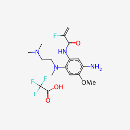 C=C(F)C(=O)Nc1cc(N)c(OC)cc1N(C)CCN(C)C.O=C(O)C(F)(F)F